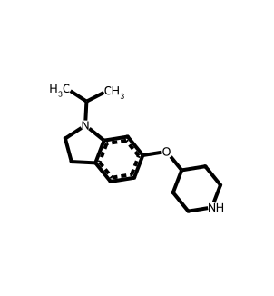 CC(C)N1CCc2ccc(OC3CCNCC3)cc21